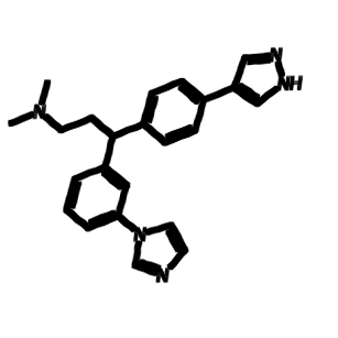 CN(C)CCC(c1ccc(-c2cn[nH]c2)cc1)c1cccc(-n2ccnc2)c1